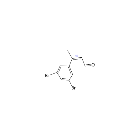 C/C(=C/C=O)c1cc(Br)cc(Br)c1